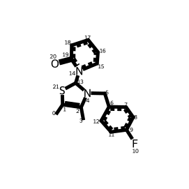 CC1=C(C)N(Cc2ccc(F)cc2)C(n2ccccc2=O)S1